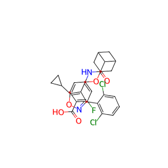 O=C(O)c1ccc(NC(=O)C2C3CC(OCc4c(-c5c(Cl)cccc5Cl)noc4C4CC4)CC2C3)cc1F